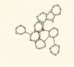 c1ccc(-c2cccc(N(c3cccc(-c4ccccc4)c3-c3ccccc3-c3ccccc3)c3cccc4c3sc3ccccc34)c2)cc1